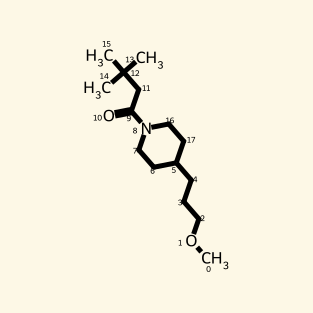 COCCCC1CCN(C(=O)CC(C)(C)C)CC1